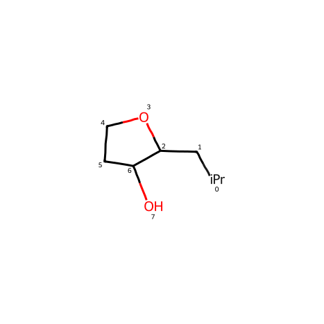 CC(C)CC1OCCC1O